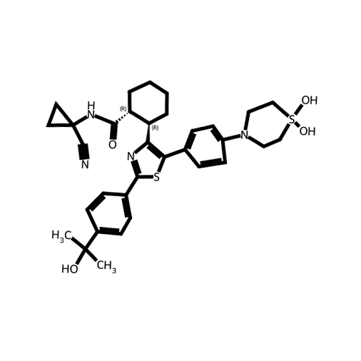 CC(C)(O)c1ccc(-c2nc([C@@H]3CCCC[C@H]3C(=O)NC3(C#N)CC3)c(-c3ccc(N4CCS(O)(O)CC4)cc3)s2)cc1